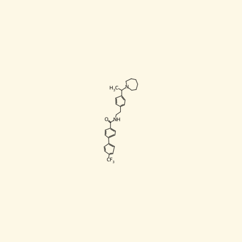 CC(c1ccc(CCNC(=O)c2ccc(-c3ccc(C(F)(F)F)cc3)cc2)cc1)N1CCCCCC1